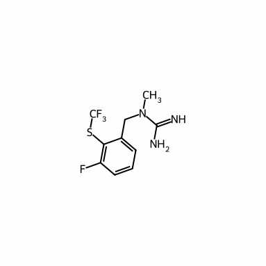 CN(Cc1cccc(F)c1SC(F)(F)F)C(=N)N